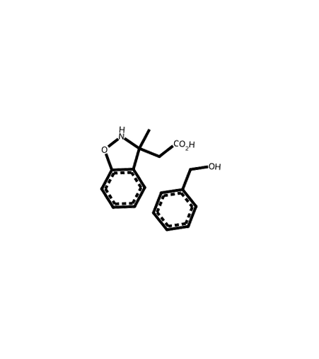 CC1(CC(=O)O)NOc2ccccc21.OCc1ccccc1